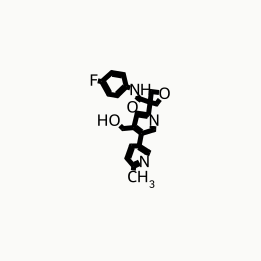 Cc1ccc(-c2cnc(C3(C(=O)Nc4ccc(F)cc4)COC3)cc2CO)cn1